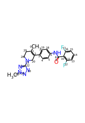 CC1=C(c2ccc(NC(=O)c3c(F)cccc3F)cc2)CN(c2nnn(C)n2)CC1